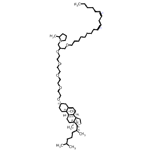 CCCCC/C=C\C/C=C\CCCCCCCCOCC(CN1CCCC1C)OCCOCCOCCOCCO[C@H]1CC[C@@]2(C)C(=CC[C@H]3[C@H]4CC[C@H]([C@@H](C)CCCC(C)C)[C@@]4(C)CC[C@H]32)C1